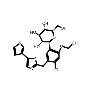 CCOc1cc(Cl)c(Cc2ncc(-c3ccsc3)s2)cc1[C@@H]1O[C@H](CO)[C@@H](O)[C@H](O)[C@H]1O